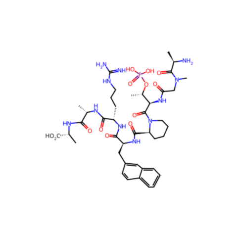 C[C@H](NC(=O)[C@H](CCCNC(=N)N)NC(=O)[C@H](Cc1ccc2ccccc2c1)NC(=O)[C@@H]1CCCCN1C(=O)[C@H](NC(=O)CN(C)C(=O)[C@@H](C)N)[C@H](C)OP(=O)(O)O)C(=O)N[C@H](C)C(=O)O